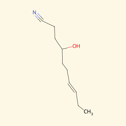 CCC=CCCC(O)CCC#N